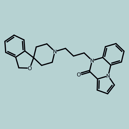 O=c1c2cccn2c2ccccc2n1CCCN1CCC2(CC1)OCc1ccccc12